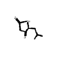 CC(C)CC1NC(=O)CC1=O